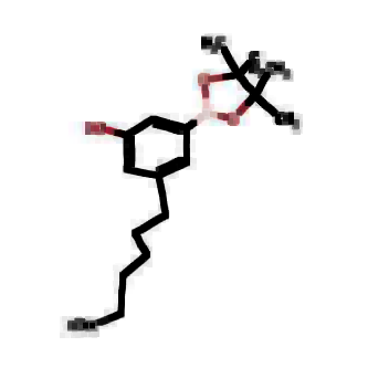 CCCCCCCCCCCCCCCc1cc(O)cc(B2OC(C)(C)C(C)(C)O2)c1